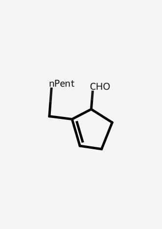 CCCCCCC1=CCCC1C=O